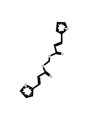 O=C(C=Cc1ccco1)OCOC(=O)C=Cc1ccco1